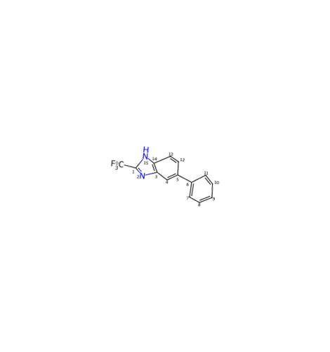 FC(F)(F)c1nc2cc(-c3ccccc3)ccc2[nH]1